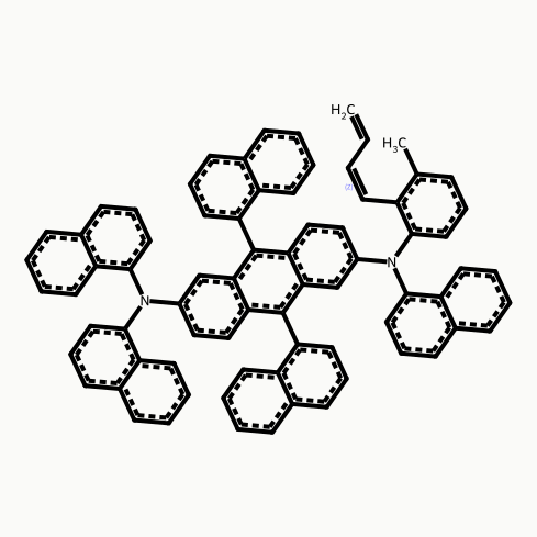 C=C/C=C\c1c(C)cccc1N(c1ccc2c(-c3cccc4ccccc34)c3cc(N(c4cccc5ccccc45)c4cccc5ccccc45)ccc3c(-c3cccc4ccccc34)c2c1)c1cccc2ccccc12